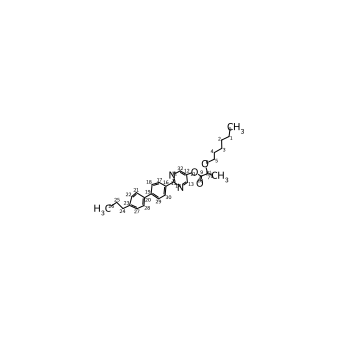 CCCCCCO[C@@H](C)C(=O)Oc1cnc(-c2ccc(-c3ccc(CCC)cc3)cc2)nc1